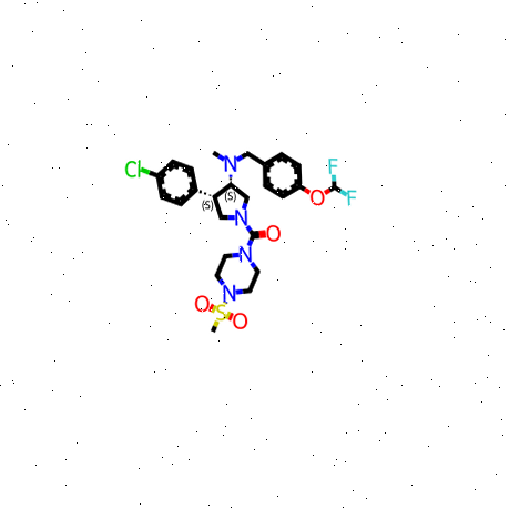 CN(Cc1ccc(OC(F)F)cc1)[C@@H]1CN(C(=O)N2CCN(S(C)(=O)=O)CC2)C[C@@H]1c1ccc(Cl)cc1